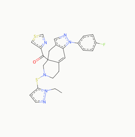 CCn1nccc1SN1CCC2=Cc3c(cnn3-c3ccc(F)cc3)CC2(C(=O)c2cscn2)C1